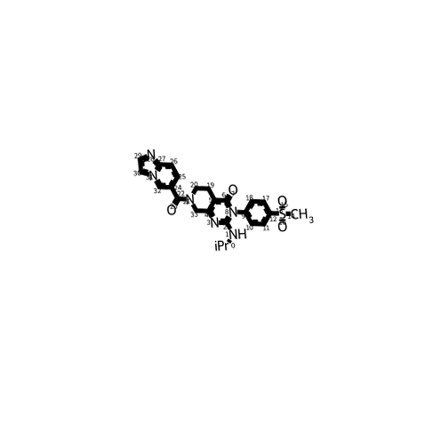 CC(C)Nc1nc2c(c(=O)n1-c1ccc(S(C)(=O)=O)cc1)CCN(C(=O)c1ccc3nccn3c1)C2